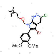 COc1ccc(-c2c(Br)c3cc(Cl)nnc3n2COCC[Si](C)(C)C)cc1OC